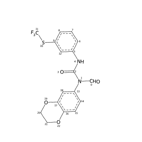 O=CN(C(=O)Nc1cccc(SC(F)(F)F)c1)c1ccc2c(c1)OCCO2